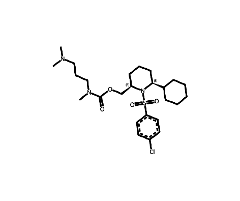 CN(C)CCCN(C)C(=O)OC[C@H]1CCC[C@@H](C2CCCCC2)N1S(=O)(=O)c1ccc(Cl)cc1